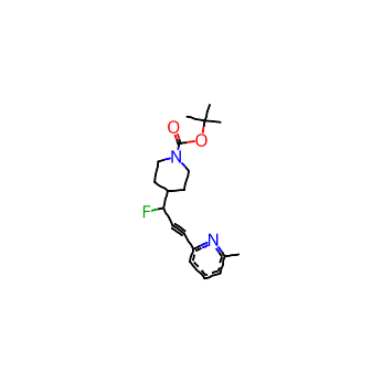 Cc1cccc(C#CC(F)C2CCN(C(=O)OC(C)(C)C)CC2)n1